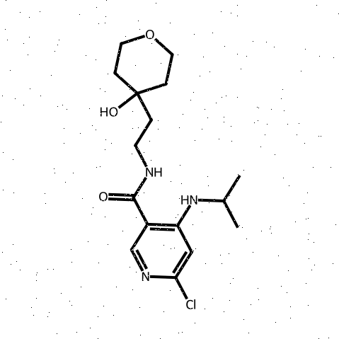 CC(C)Nc1cc(Cl)ncc1C(=O)NCCC1(O)CCOCC1